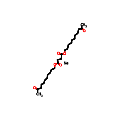 CC(=O)CCCCCCCCCOC(=O)CCC(=O)OCCCCCCCCCC(C)=O.[Na]